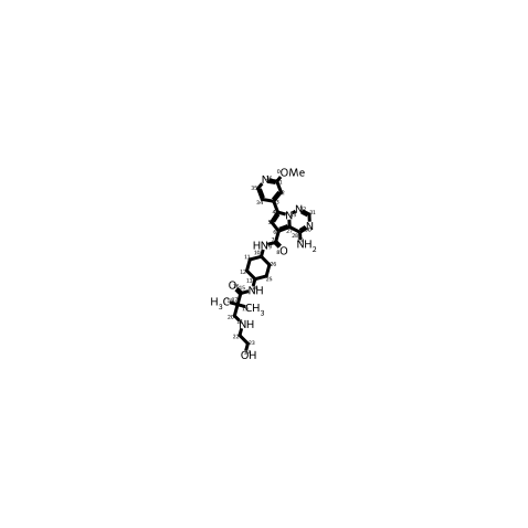 COc1cc(-c2cc(C(=O)NC3CCC(NC(=O)C(C)(C)CNCCO)CC3)c3c(N)ncnn23)ccn1